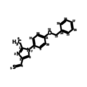 Cc1nc(C=S)cn1-c1ccc(OCc2ccccc2)cc1